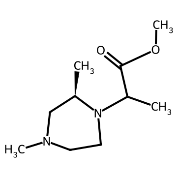 COC(=O)C(C)N1CCN(C)C[C@H]1C